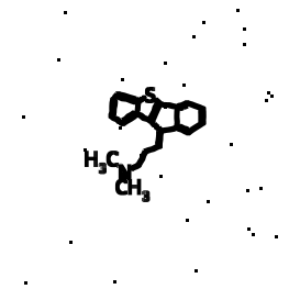 CN(C)CC/C=C1/c2ccccc2-c2sc3ccccc3c21